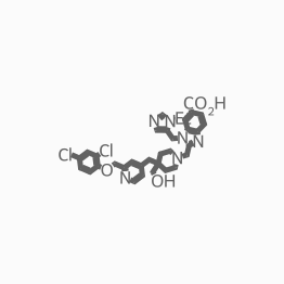 CCn1cncc1Cn1c(CN2CCC(CO)(Cc3ccnc(COc4ccc(Cl)cc4Cl)c3)CC2)nc2ccc(C(=O)O)cc21